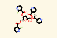 C=C(OC[C@@]1(O)O[C@H](COC(=O)c2cccnc2F)[C@@H](OC(=O)c2cccnc2F)[C@@H]1OC(=O)c1cccnc1)c1cccnc1